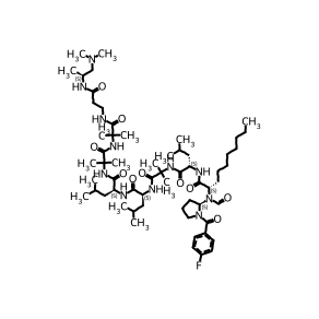 CCCCCCCC[C@@H](C(=O)N[C@@H](CC(C)C)C(=O)NC(C)(C)C(=O)N[C@@H](CC(C)C)C(=O)N[C@@H](CC(C)C)C(=O)NC(C)(C)C(=O)NC(C)(C)C(=O)NCCC(=O)N[C@@H](C)CN(C)C)N(C=O)[C@@H]1CCCN1C(=O)c1ccc(F)cc1